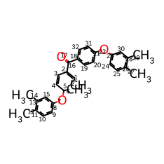 C/C=C(\C=C/C(C)Oc1ccc(C)c(C)c1)C(=O)c1ccc(Oc2ccc(C)c(C)c2)cc1